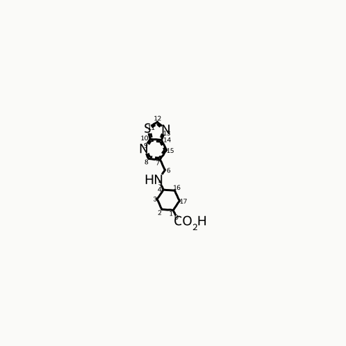 O=C(O)C1CCC(NCc2cnc3scnc3c2)CC1